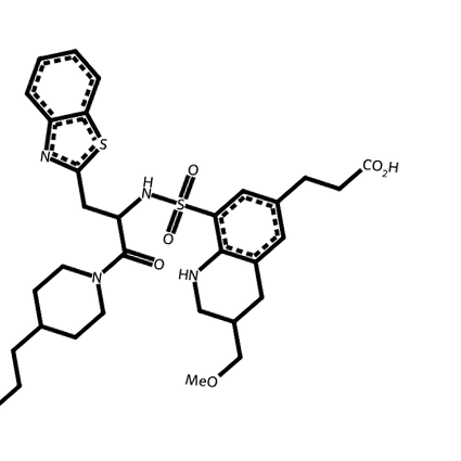 COCC1CNc2c(cc(CCC(=O)O)cc2S(=O)(=O)NC(Cc2nc3ccccc3s2)C(=O)N2CCC(CCF)CC2)C1